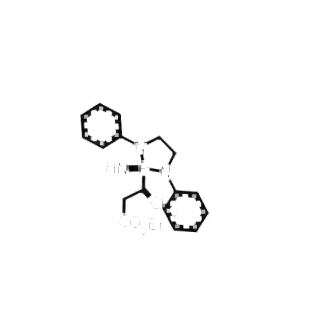 C=C(CC(=O)OCC)P1(=N)N(c2ccccc2)CCN1c1ccccc1